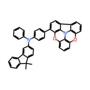 CC1(C)c2ccccc2-c2cc(N(c3ccccc3)c3ccc(-c4ccc5c6cccc7c6n6c5c4Oc4cccc(c4-6)O7)cc3)ccc21